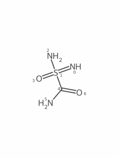 N=S(N)(=O)C(N)=O